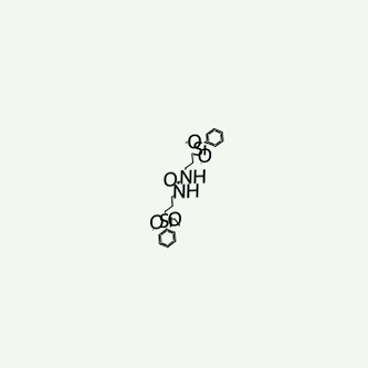 CO[Si](CCCNC(=O)NCCC[Si](OC)(OC)c1ccccc1)(OC)c1ccccc1